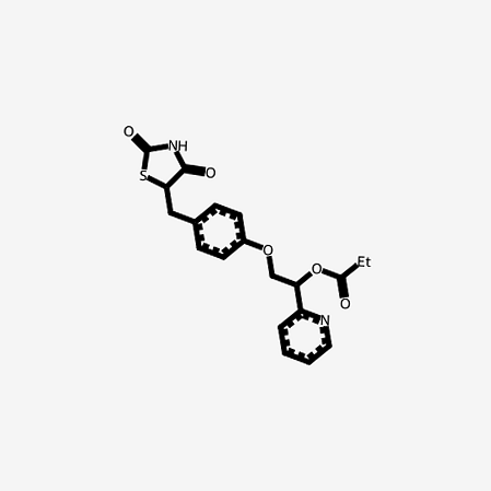 CCC(=O)OC(COc1ccc(CC2SC(=O)NC2=O)cc1)c1ccccn1